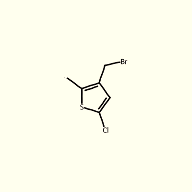 [CH2]c1sc(Cl)cc1CBr